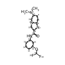 CN(C)c1ccc2nc(C(=O)Nc3cccc(OC(F)F)c3)cn2c1